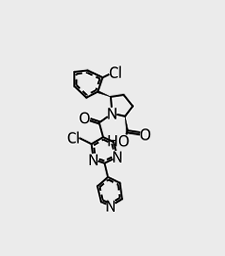 O=C(O)[C@@H]1CC[C@H](c2ccccc2Cl)N1C(=O)c1cnc(-c2ccncc2)nc1Cl